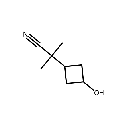 CC(C)(C#N)C1CC(O)C1